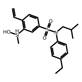 C=Cc1ccc(S(=O)(=O)N(CC(C)C)c2ccc(CC)cc2)cc1[SiH](C)O